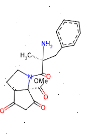 COC(=O)[C@]12C(=O)CC(=O)C1CCN2C(=O)[C@@](C)(N)Cc1ccccc1